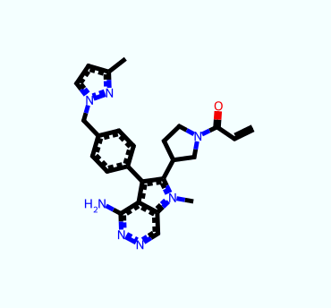 C=CC(=O)N1CCC(c2c(-c3ccc(Cn4ccc(C)n4)cc3)c3c(N)nncc3n2C)C1